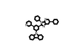 c1ccc(-c2cnc3c(c2)nc(-c2cc(-c4cccnc4)cc(-n4c5ccccc5c5ccccc54)c2)n3-c2ccccc2)cc1